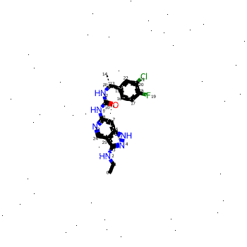 CCNc1n[nH]c2cc(NC(=O)N[C@H](C)c3ccc(F)c(Cl)c3)ncc12